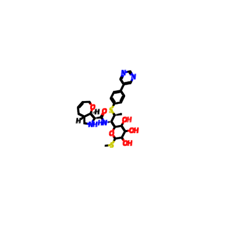 CSC1OC([C@H](NC(=O)[C@H]2NC[C@@H]3CC=CCO[C@H]32)[C@H](C)Sc2ccc(-c3cncnc3)cc2)C(O)C(O)C1O